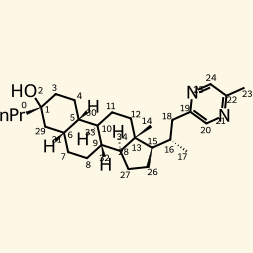 CCC[C@@]1(O)CC[C@H]2[C@H](CC[C@@H]3[C@@H]2CC[C@]2(C)[C@@H]([C@@H](C)Cc4cnc(C)cn4)CC[C@@H]32)C1